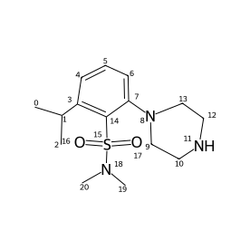 CC(C)c1cccc(N2CCNCC2)c1S(=O)(=O)N(C)C